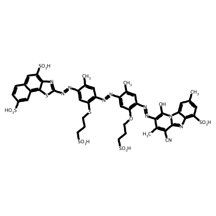 Cc1cc(S(=O)(=O)O)c2nc3c(C#N)c(C)c(N=Nc4cc(C)c(N=Nc5cc(C)c(N=Nc6nc7c(S(=O)(=O)O)cc8ccc(S(=O)(=O)O)cc8c7s6)cc5SCCCS(=O)(=O)O)cc4OCCCS(=O)(=O)O)c(O)n3c2c1